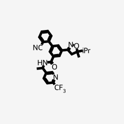 CC(NC(=O)c1cc(C2=NOC(C)(C(C)C)C2)cc(-c2ccccc2C#N)c1)c1ccc(C(F)(F)F)nc1